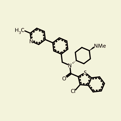 CN[C@H]1CC[C@H](N(Cc2cccc(-c3ccc(C)nc3)c2)C(=O)c2sc3ccccc3c2Cl)CC1